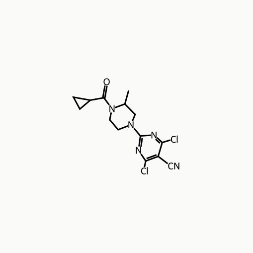 CC1CN(c2nc(Cl)c(C#N)c(Cl)n2)CCN1C(=O)C1CC1